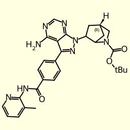 Cc1cccnc1NC(=O)c1ccc(-c2nn(C3C[C@H]4CC3N(C(=O)OC(C)(C)C)C4)c3ncnc(N)c23)cc1